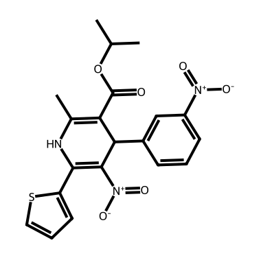 CC1=C(C(=O)OC(C)C)C(c2cccc([N+](=O)[O-])c2)C([N+](=O)[O-])=C(c2cccs2)N1